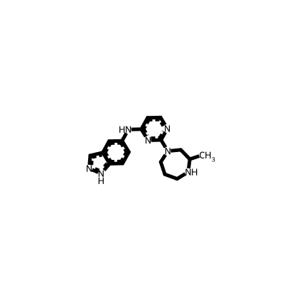 CC1CN(c2nccc(Nc3ccc4[nH]ncc4c3)n2)CCCN1